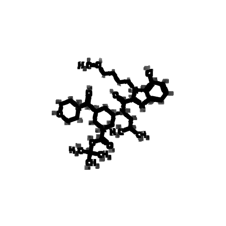 COCCCCn1c(C(=O)N(CC(C)C)[C@H]2CC(C(=O)N3CCOCC3)CN(C(=O)OC(C)(C)C)C2)nc2cccc(Cl)c21